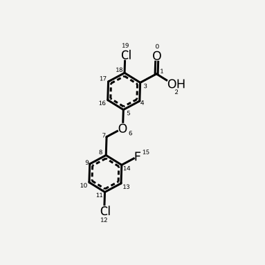 O=C(O)c1cc(OCc2ccc(Cl)cc2F)ccc1Cl